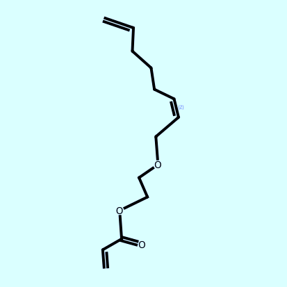 C=CCCC/C=C\COCCOC(=O)C=C